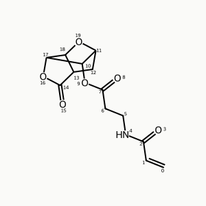 C=CC(=O)NCCC(=O)OC1C2CC3C(=O)OC1C3O2